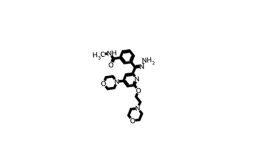 CNC(=O)c1cccc(/C(=N\N)c2cc(N3CCOCC3)cc(OCCN3CCOCC3)n2)c1